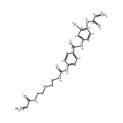 C=CC(=O)OCCOCCOC(=O)Oc1ccc(C(=O)Oc2ccc(OC(=O)C=C)c(F)c2)cc1